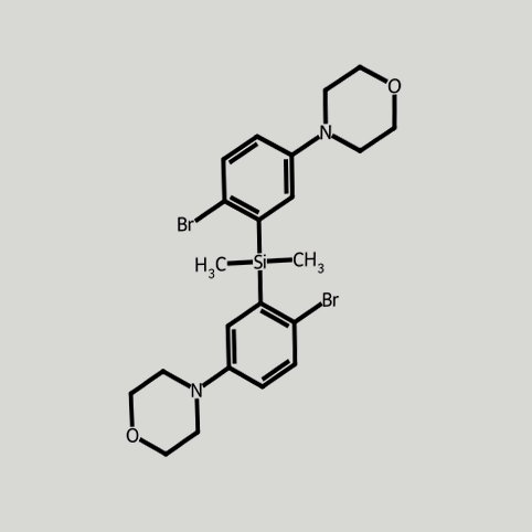 C[Si](C)(c1cc(N2CCOCC2)ccc1Br)c1cc(N2CCOCC2)ccc1Br